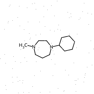 CN1CCCN(C2CCCCC2)CC1